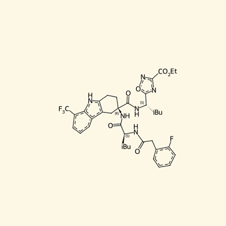 CCOC(=O)c1noc([C@@H](NC(=O)[C@@]2(NC(=O)[C@@H](NC(=O)Cc3ccccc3F)C(C)CC)CCc3[nH]c4c(C(F)(F)F)cccc4c3C2)C(C)CC)n1